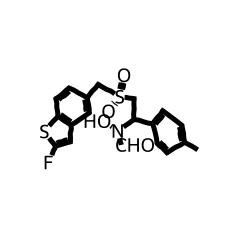 Cc1ccc(C(CS(=O)(=O)Cc2ccc3sc(F)cc3c2)N(O)C=O)cc1